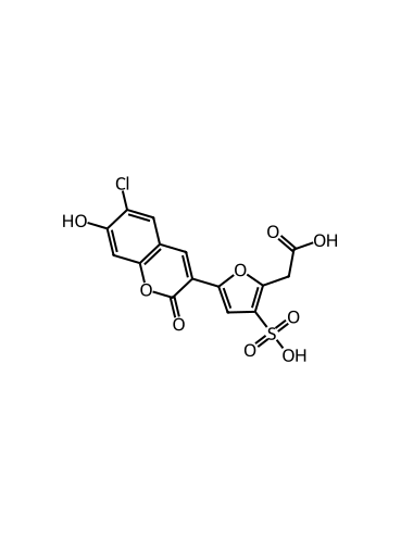 O=C(O)Cc1oc(-c2cc3cc(Cl)c(O)cc3oc2=O)cc1S(=O)(=O)O